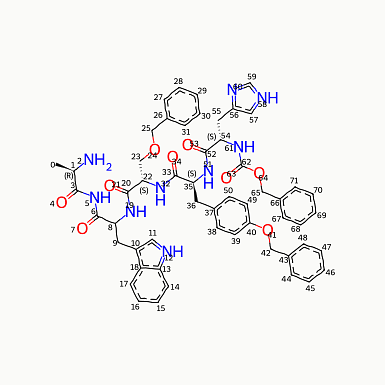 C[C@@H](N)C(=O)NC(=O)C(Cc1c[nH]c2ccccc12)NC(=O)[C@H](COCc1ccccc1)NC(=O)[C@H](Cc1ccc(OCc2ccccc2)cc1)NC(=O)[C@H](Cc1c[nH]cn1)NC(=O)OCc1ccccc1